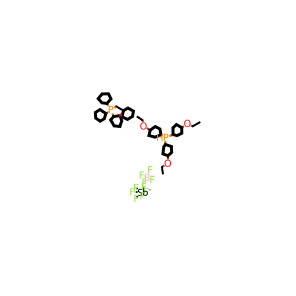 CCOc1ccc([PH+](c2ccc(OCC)cc2)c2ccc(OCC)cc2)cc1.F[B-](F)(F)F.[F][Sb-]([F])([F])([F])([F])[F].c1ccc(C[P+](c2ccccc2)(c2ccccc2)c2ccccc2)cc1